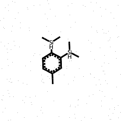 Cc1ccc([SiH](C)C)c([SiH](C)C)c1